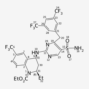 CCOC(=O)N1c2ccc(C(F)(F)F)cc2[C@@H](Nc2ncc(S(N)(=O)=O)c(Cc3cc(C(F)(F)F)cc(C(F)(F)F)c3)n2)C[C@H]1CC